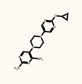 Nc1ncc(N2CCN(c3cnc(OC4CC4)nc3)CC2)c(N)n1